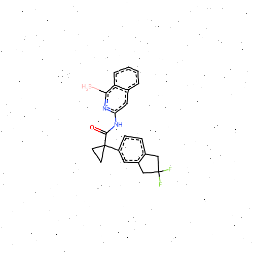 Bc1nc(NC(=O)C2(c3ccc4c(c3)CC(F)(F)C4)CC2)cc2ccccc12